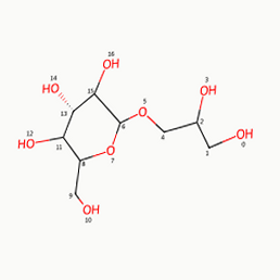 OCC(O)COC1OC(CO)C(O)[C@H](O)C1O